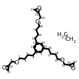 C=C.c1c(CCCCOCC2CO2)cc(CCCCOCC2CO2)cc1CCCCOCC1CO1